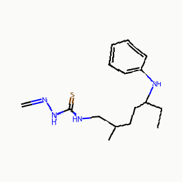 C=NNC(=S)NCC(C)CCC(CC)Nc1ccccc1